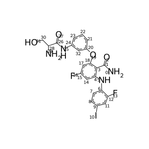 NC(=O)c1c(Nc2ccc(I)cc2F)cc(F)cc1Oc1cccc(NC(=O)C(N)CO)c1